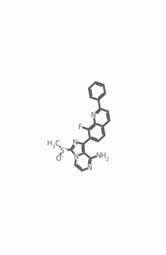 C[S+]([O-])c1nc(-c2ccc3ccc(-c4ccccc4)nc3c2F)c2c(N)nccn12